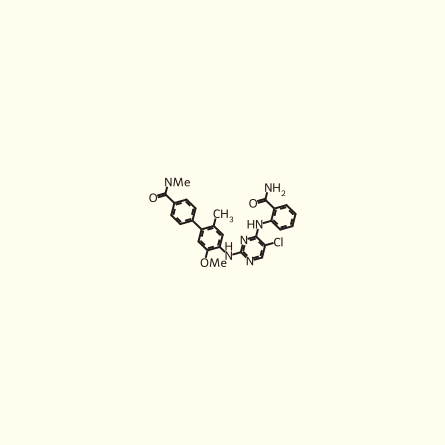 CNC(=O)c1ccc(-c2cc(OC)c(Nc3ncc(Cl)c(Nc4ccccc4C(N)=O)n3)cc2C)cc1